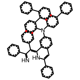 N=C(/C(=C1\NC(c2ccccc2)=Cc2ccc(N(c3ccc(-c4ccccc4)cc3)c3ccccc3-c3ccccc3-c3ccccc3)cc21)c1ccccc1)c1ccccc1